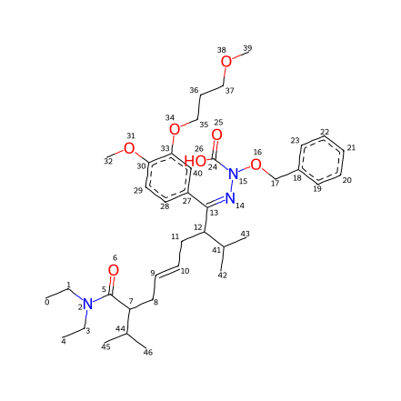 CCN(CC)C(=O)C(C/C=C/CC(C(=NN(OCc1ccccc1)C(=O)O)c1ccc(OC)c(OCCCOC)c1)C(C)C)C(C)C